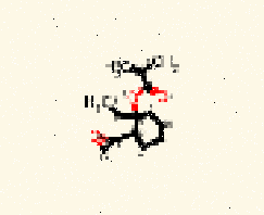 C=C(C)C(=O)OC1(CC)CCCCC1C1CO1